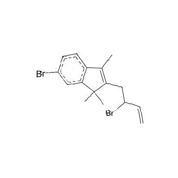 C=CC(Br)CC1=C(C)c2ccc(Br)cc2C1(C)C